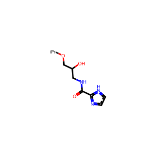 CC(C)OCC(O)CNC(=O)c1ncc[nH]1